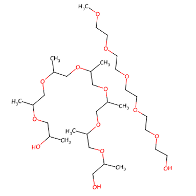 CC(O)COC(C)COC(C)COC(C)COC(C)COC(C)COC(C)CO.COCCOCCOCCOCCOCCO